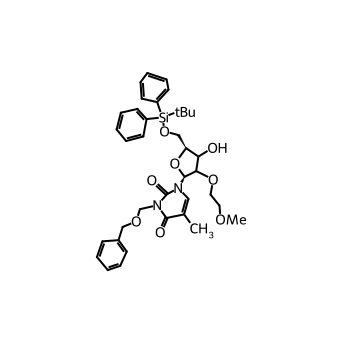 COCCOC1C(O)[C@H](CO[Si](c2ccccc2)(c2ccccc2)C(C)(C)C)O[C@@H]1n1cc(C)c(=O)n(COCc2ccccc2)c1=O